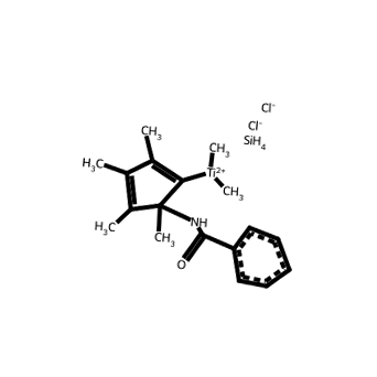 CC1=C(C)C(C)(NC(=O)c2ccccc2)[C]([Ti+2]([CH3])[CH3])=C1C.[Cl-].[Cl-].[SiH4]